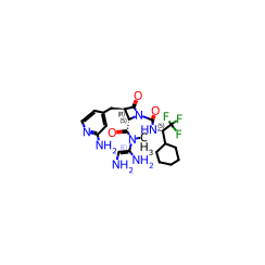 CN(C(=O)[C@@H]1[C@@H](Cc2ccnc(N)c2)C(=O)N1C(=O)N[C@@H](C1CCCCC1)C(F)(F)F)/C(N)=C/N